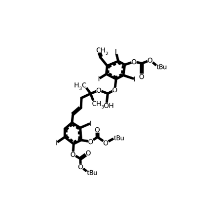 C=Cc1c(I)c(OC(=O)OC(C)(C)C)c(I)c(OC(O)OC(C)(C)C/C=C/c2cc(I)c(OC(=O)OC(C)(C)C)c(OC(=O)OC(C)(C)C)c2I)c1I